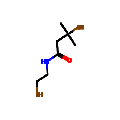 CC(C)(S)CC(=O)NCCS